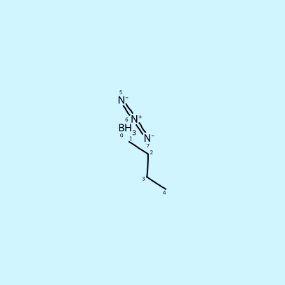 B.CCCC.[N-]=[N+]=[N-]